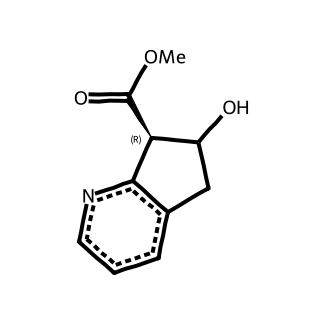 COC(=O)[C@@H]1c2ncccc2CC1O